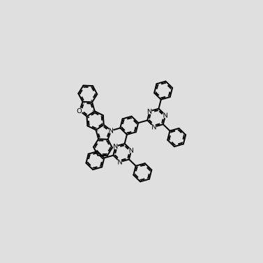 c1ccc(-c2nc(-c3ccccc3)nc(-c3ccc(-n4c5ccccc5c5cc6oc7ccccc7c6cc54)c(-c4nc(-c5ccccc5)nc(-c5ccccc5)n4)c3)n2)cc1